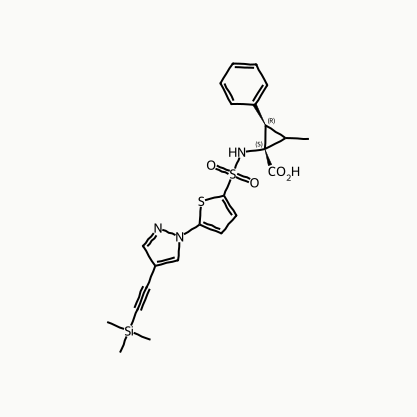 CC1[C@H](c2ccccc2)[C@]1(NS(=O)(=O)c1ccc(-n2cc(C#C[Si](C)(C)C)cn2)s1)C(=O)O